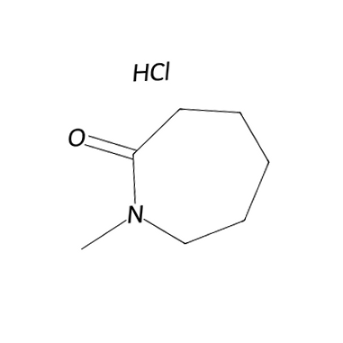 CN1CCCCCC1=O.Cl